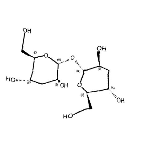 OC[C@H]1O[C@H](O[C@H]2O[C@H](CO)[C@@H](O)C[C@@H]2O)[C@@H](O)C[C@@H]1O